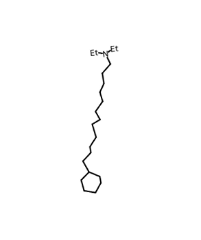 CCN(CC)CCCCCCCCCCCCC1CCCCC1